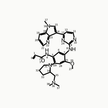 C=CC(=O)Nc1cc(Nc2nccc(-c3cn(C)c4cccnc34)n2)c(OC)cc1N1CCCC1CN(C)C